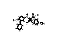 C[C@@H](Nc1c(Nc2ccc(O)c(-c3ccccn3)c2)c(=O)c1=O)c1cccc(O)c1